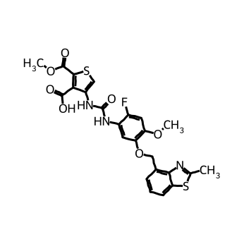 COC(=O)c1scc(NC(=O)Nc2cc(OCc3cccc4sc(C)nc34)c(OC)cc2F)c1C(=O)O